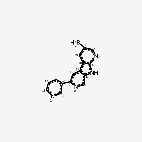 Bc1cnc2[nH]c3cnc(-c4cccnc4)cc3c2c1